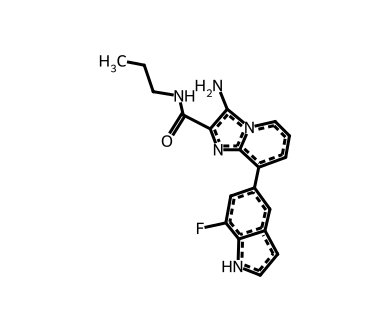 CCCNC(=O)c1nc2c(-c3cc(F)c4[nH]ccc4c3)cccn2c1N